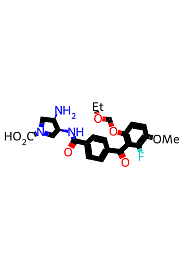 CCOCOc1ccc(OC)c(F)c1C(=O)c1ccc(C(=O)N[C@H]2CN(C(=O)O)C[C@@H]2N)cc1